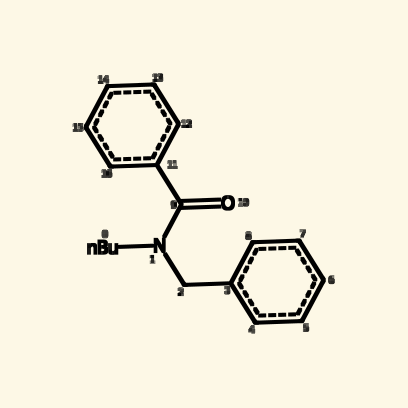 CCCCN(Cc1ccccc1)C(=O)c1ccccc1